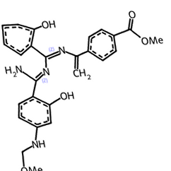 C=C(/N=C(\N=C(/N)c1ccc(NCOC)cc1O)c1ccccc1O)c1ccc(C(=O)OC)cc1